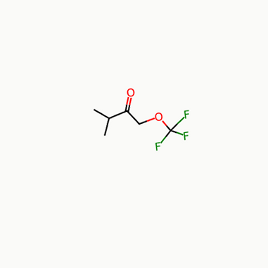 CC(C)C(=O)COC(F)(F)F